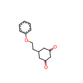 O=C1CC(=O)CC(CCOc2ccccc2)C1